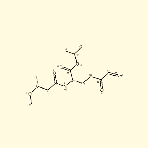 CO[C@H](C)CC(=O)N[C@@H](CCC(=O)C=N)C(=O)OC(C)C